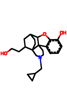 OCCC1CC2CCC13CN(CC1CC1)CCC31c3cccc(O)c3OC21